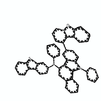 c1ccc(N(c2ccc3c(c2)sc2ccccc23)c2cc3ccccc3c3c2c2cc(-c4cccc5oc6ccccc6c45)ccc2n3-c2ccccc2)cc1